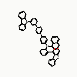 c1cc(-c2ccc(-c3ccc(N(c4ccccc4-c4cccc5sc6ccccc6c45)c4cccc5ccccc45)cc3)cc2)cc(-n2c3ccccc3c3ccccc32)c1